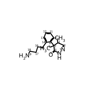 CC1C=NNC(=O)C1(C)c1ccccc1CCCCN